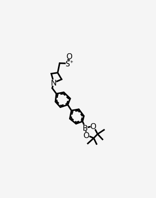 CC1(C)OB(c2ccc(-c3ccc(CN4CC(C[S+]=O)C4)cc3)cc2)OC1(C)C